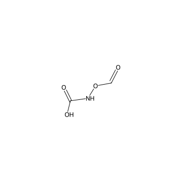 O=CONC(=O)O